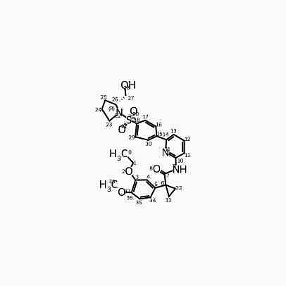 CCOc1cc(C2(C(=O)Nc3cccc(-c4ccc(S(=O)(=O)N5CCC[C@@H]5CO)cc4)n3)CC2)ccc1OC